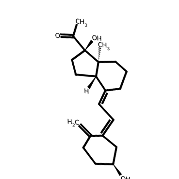 C=C1CC[C@H](O)C/C1=C/C=C1\CCC[C@@]2(C)[C@H]1CC[C@]2(O)C(C)=O